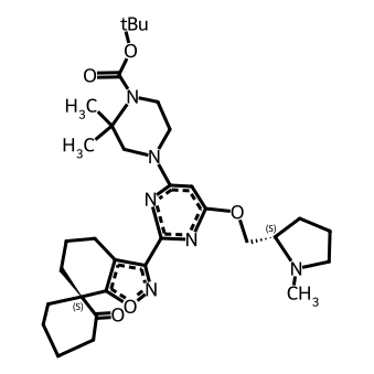 CN1CCC[C@H]1COc1cc(N2CCN(C(=O)OC(C)(C)C)C(C)(C)C2)nc(-c2noc3c2CCC[C@@]32CCCCC2=O)n1